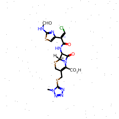 Cn1nnnc1SCC1=C(C(=O)O)N2C(=O)C(NC(=O)/C(=C/Cl)c3csc(NC=O)n3)[C@H]2SC1